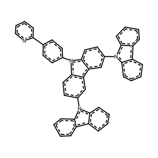 c1ccc(-c2ccc(-n3c4ccc(-n5c6ccccc6c6ccccc65)cc4c4cc(-n5c6ccccc6c6ccccc65)ccc43)cc2)nc1